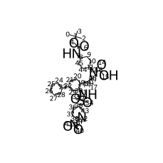 CC(C)(C)OC(=O)NC1CCC(N(C(=O)O)[C@@H]2C[C@H]2c2ccc(-c3ccccc3)cc2NS(=O)(=O)c2ccc([N+](=O)[O-])nc2)CC1